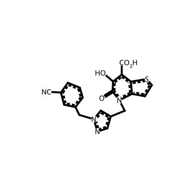 N#Cc1cccc(Cn2cc(Cn3c(=O)c(O)c(C(=O)O)c4sccc43)cn2)c1